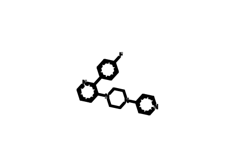 Fc1ccc(-c2ncccc2N2CCN(c3ccncc3)CC2)cc1